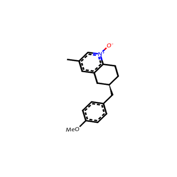 COc1ccc(C[C@@H]2CCc3c(cc(C)c[n+]3[O-])C2)cc1